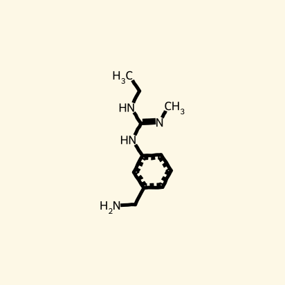 CCNC(=NC)Nc1cccc(CN)c1